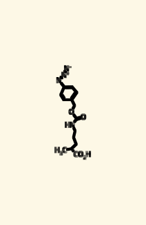 C[C@@H](CCCNC(=O)OCc1ccc(N=[N+]=[N-])cc1)C(=O)O